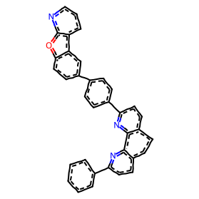 c1ccc(-c2ccc3ccc4ccc(-c5ccc(-c6ccc7oc8ncccc8c7c6)cc5)nc4c3n2)cc1